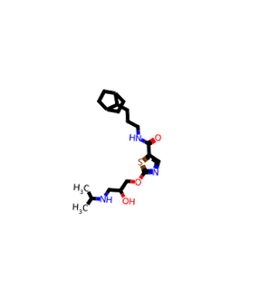 CC(C)NCC(O)COc1ncc(C(=O)NCCCC2C3CCC2CC3)s1